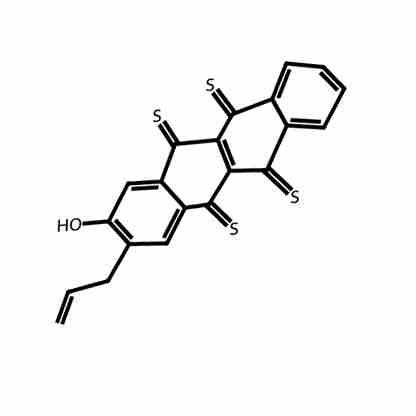 C=CCc1cc2c(=S)c3c(=S)c4ccccc4c(=S)c=3c(=S)c2cc1O